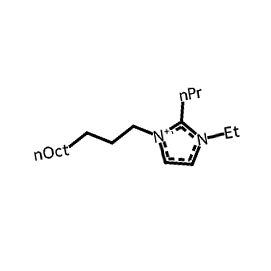 CCCCCCCCCCC[n+]1ccn(CC)c1CCC